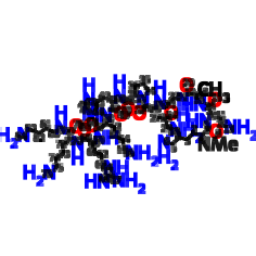 CN[C@@H](CCCCN)C(=O)N[C@@H](CCN)C(=O)N[C@@H](C)C(=O)NCC(=O)N[C@H](CCCN)C(=O)N1CCC[C@H]1C(=O)N[C@@H](Cc1cnc[nH]1)C(=O)N[C@@H](CCCCN)C(=O)N/C(=C\CCNC(=N)N)C(=O)N[C@@H](CCCCN)C(=O)NCCCCN